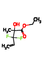 C=CC(F)(F)C(C)(O)C(=O)OCC